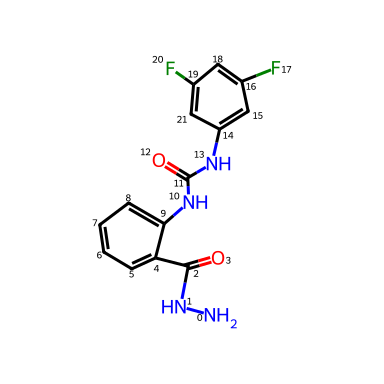 NNC(=O)c1ccccc1NC(=O)Nc1cc(F)cc(F)c1